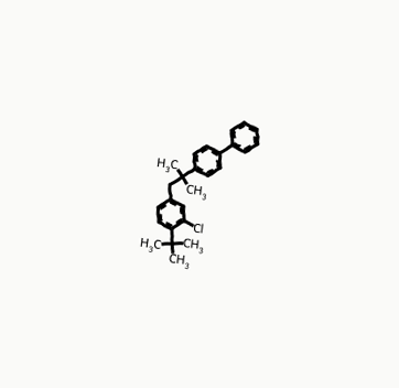 CC(C)(C)c1ccc(CC(C)(C)c2ccc(-c3ccccc3)cc2)cc1Cl